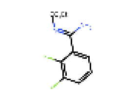 CCOC(=O)N=C(N)c1cc[c]c(F)c1F